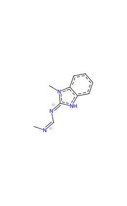 C/N=C\N=c1/[nH]c2ccccc2n1C